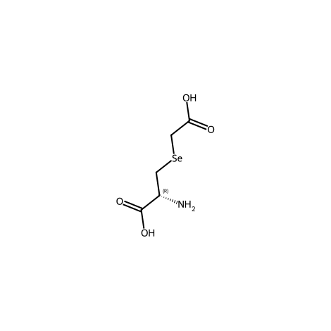 N[C@@H](C[Se]CC(=O)O)C(=O)O